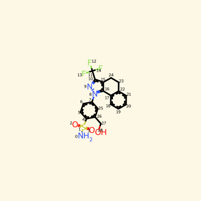 NS(=O)(=O)c1ccc(-n2nc(C(F)(F)F)c3c2-c2ccccc2CC3)cc1CO